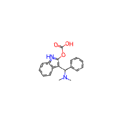 CN(C)C(c1ccccc1)c1c(OC(=O)O)[nH]c2ccccc12